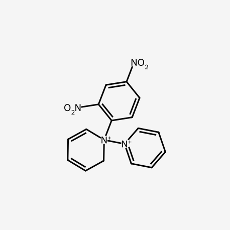 O=[N+]([O-])c1ccc([N+]2([n+]3ccccc3)C=CC=CC2)c([N+](=O)[O-])c1